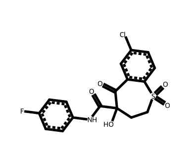 O=C(Nc1ccc(F)cc1)C1(O)CCS(=O)(=O)c2ccc(Cl)cc2C1=O